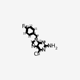 Nc1nc(Cl)c2ncn(Cc3ccc(F)cc3)c2n1